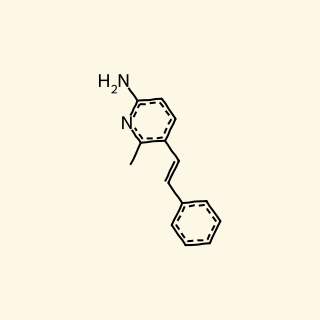 Cc1nc(N)ccc1C=Cc1ccccc1